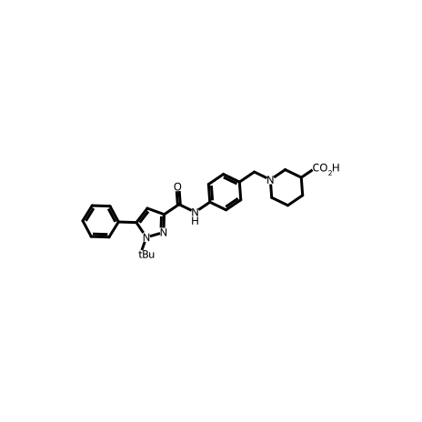 CC(C)(C)n1nc(C(=O)Nc2ccc(CN3CCCC(C(=O)O)C3)cc2)cc1-c1ccccc1